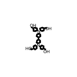 OCc1ccc(N(c2ccc(CO)cc2)c2ccc(-c3ccc(N(c4ccc(CO)cc4)c4ccc(CO)cc4)cc3)cc2)cc1